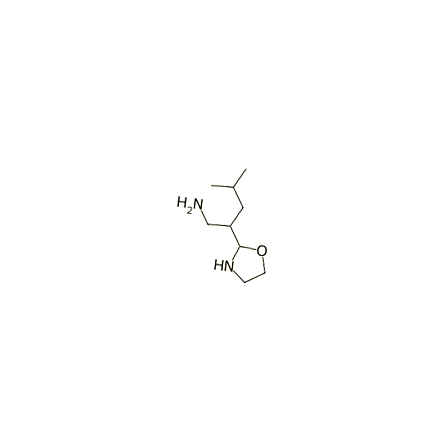 CC(C)CC(CN)C1NCCO1